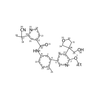 CCOc1ncc(-c2cc(NC(=O)c3ccnc(C(C)(C)C#N)c3)ccc2C)cc1C1(CO)CCOC1